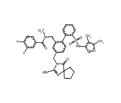 CCCCC1=NC2(CCCC2)C(=O)N1Cc1ccc(-c2ccccc2S(=O)(=O)Nc2noc(C)c2C)c(CN(C)C(=O)c2ccc(F)c(F)c2)c1